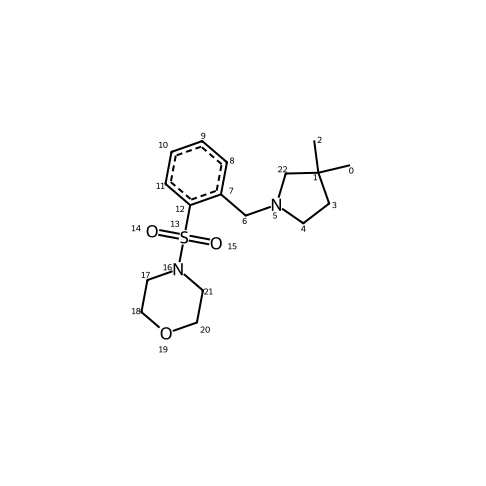 CC1(C)CCN(Cc2ccccc2S(=O)(=O)N2CCOCC2)C1